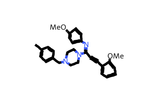 COc1ccc(/N=C(/C#Cc2ccccc2OC)N2CCN(Cc3ccc(C)cc3)CC2)cc1